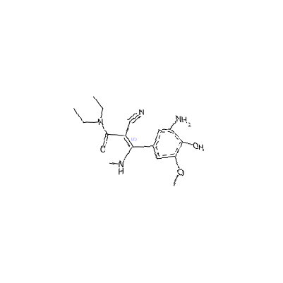 CCN(CC)C(=O)/C(C#N)=C(\NC)c1cc(N)c(O)c(OC)c1